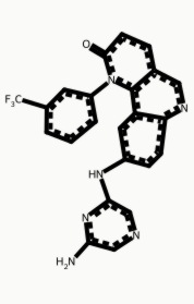 Nc1cncc(Nc2ccc3ncc4ccc(=O)n(-c5cccc(C(F)(F)F)c5)c4c3c2)n1